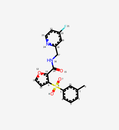 Cc1cccc(S(=O)(=O)c2ccoc2C(=O)NCc2cc(F)ccn2)c1